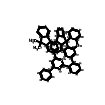 CC1(C)c2ccccc2-c2ccc(-c3cc(-c4ccccc4)nc(-c4ccccc4-c4ccc5c(c4)Oc4ccccc4C54c5ccccc5-c5ccccc54)n3)cc21